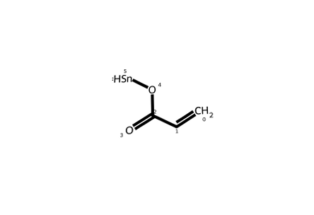 C=CC(=O)[O][SnH]